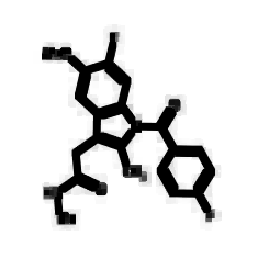 CCC(C)NC(=O)Cc1c(C)n(C(=O)c2ccc(F)cc2)c2cc(F)c(OC)cc12